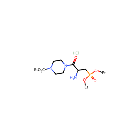 CCOC(=O)N1CCN(C(=O)[C@H](N)CP(=O)(OCC)OCC)CC1.Cl